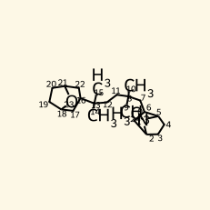 CN1C2CCC1C(CC(C)(C)CCC(C)(C)C1CC3CCC(C1)O3)C2